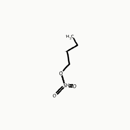 CC[CH]CO[SH](=O)=O